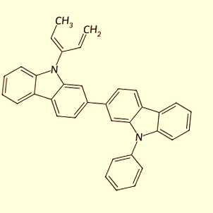 C=C/C(=C\C)n1c2ccccc2c2ccc(-c3ccc4c5ccccc5n(-c5ccccc5)c4c3)cc21